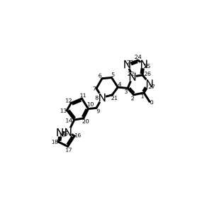 Cc1cc(C2CCCN(Cc3cccc(-n4cccn4)c3)C2)n2ncnc2n1